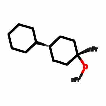 CCCO[C@]1(CCC)CC[C@H](C2CCCCC2)CC1